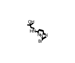 CC(C)(O)CCNc1ccc2ncc(Br)n2n1